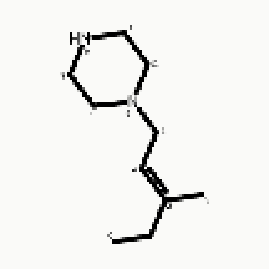 CC/C(C)=C/CN1CCNCC1